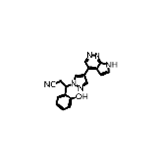 N#CCC(c1ccccc1O)n1cc(-c2cnnc3[nH]ccc23)cn1